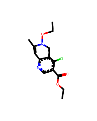 CCOC(=O)c1cnc2c(c1Cl)CN(OCC)C(C)=C2